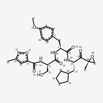 COc1ccc(C[C@H](NC(=O)[C@@H](CO)NC(=O)c2cc(C)no2)C(=O)N[C@@H](CC2CCCC2)C(=O)[C@@]2(C)CO2)cc1